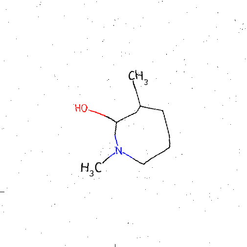 CC1CCCN(C)C1O